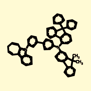 CC1(C)c2ccccc2-c2ccc(N(c3ccc(-c4cccc(-n5c6c(c7ccccc75)C=CCC=C6)c4)cc3)c3cccc4c3-c3ccccc3C4(c3ccccc3)c3ccccc3)cc21